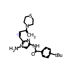 C=C(/C=C\c1nc(NC(=O)c2ccc(C(C)(C)C)cc2)cn1N)N1CCSCC1